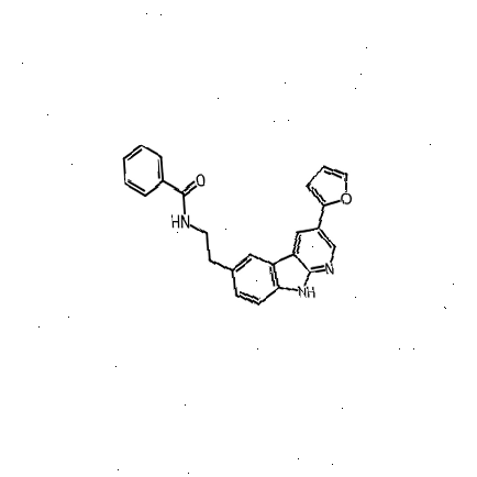 O=C(NCCc1ccc2[nH]c3ncc(-c4ccco4)cc3c2c1)c1ccccc1